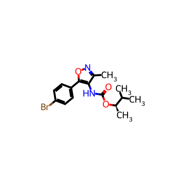 Cc1noc(-c2ccc(Br)cc2)c1NC(=O)O[C@H](C)C(C)C